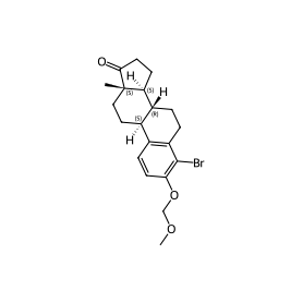 COCOc1ccc2c(c1Br)CC[C@@H]1[C@@H]2CC[C@]2(C)C(=O)CC[C@@H]12